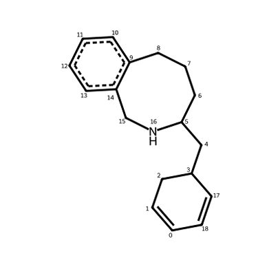 C1=CCC(CC2CCCc3ccccc3CN2)C=C1